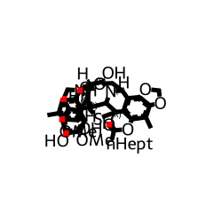 CCCCCCCC(=O)Oc1c(C)c2c(c3c1[C@H]1SC[C@]4(NCCc5cc(O)c(OC)cc54)C(=O)OC[C@@H]3N3C1[C@@H]1N[C@H](Cc4cc(C)c(OC)c(O)c41)[C@@H]3O)OCO2